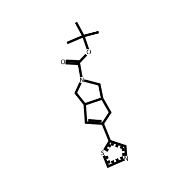 CC(C)(C)OC(=O)N1CC2C=C(c3cncs3)CC2C1